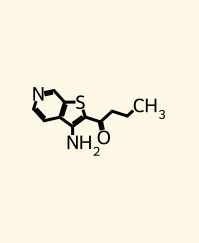 CCCC(=O)c1sc2cnccc2c1N